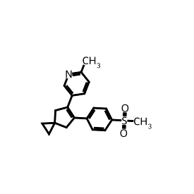 Cc1ccc(C2=C(c3ccc(S(C)(=O)=O)cc3)CC3(CC3)C2)cn1